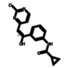 O=C(Nc1cccc(/C(O)=C\c2ccnc(Cl)n2)c1)C1CC1